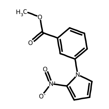 COC(=O)c1cccc(-n2cccc2[N+](=O)[O-])c1